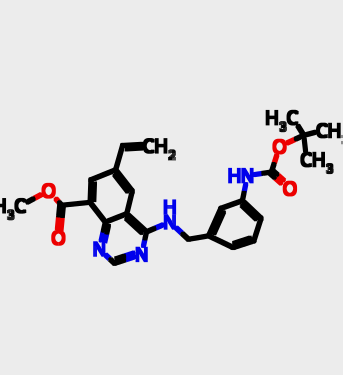 C=Cc1cc(C(=O)OC)c2ncnc(NCc3cccc(NC(=O)OC(C)(C)C)c3)c2c1